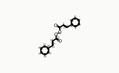 O=C(/C=C/c1ccccc1)OOC(=O)/C=C/c1ccccc1